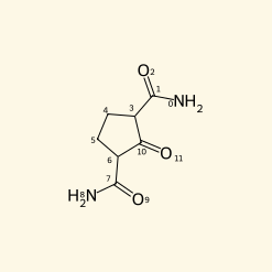 NC(=O)C1CCC(C(N)=O)C1=O